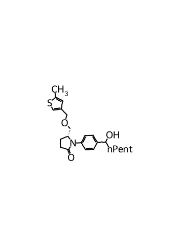 CCCCCC(O)c1ccc(N2C(=O)CC[C@@H]2COCc2csc(C)c2)cc1